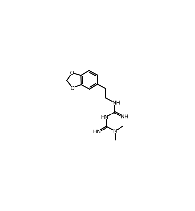 CN(C)C(=N)NC(=N)NCCc1ccc2c(c1)OCO2